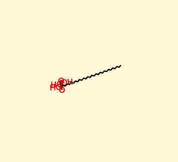 CCCCCCCCCCCCCCCCCCCCCCCCCCCCC(C(=O)O)P(=O)(O)O